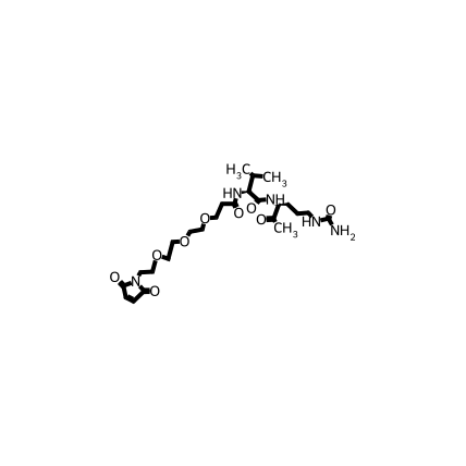 CC(=O)[C@H](CCCNC(N)=O)NC(=O)[C@@H](NC(=O)CCOCCOCCOCCN1C(=O)C=CC1=O)C(C)C